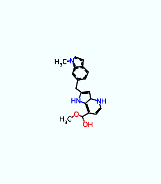 COC(O)C1=C2NC(Cc3ccc4ccn(C)c4c3)=CC2NC=C1